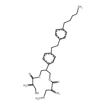 C=C(CO)C(=O)OCC(COC(=O)C(=C)COC)c1ccc(CCc2ccc(CCCCC)cc2)cc1